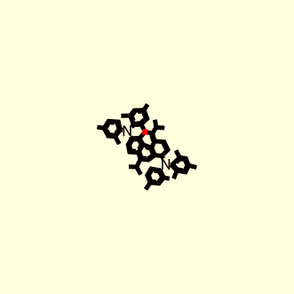 Cc1ccc(N(c2ccc3c(C(C)C)cc4c5c3c2CC(C(C)C)=C5C=CC4N(c2ccc(C)cc2C)c2c(C)cc(C)cc2C)c2c(C)cc(C)cc2C)c(C)c1